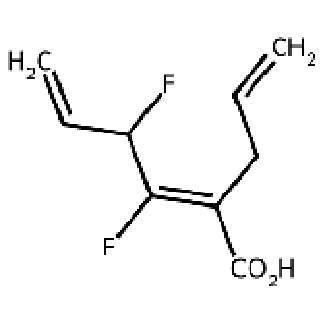 C=CCC(C(=O)O)=C(F)C(F)C=C